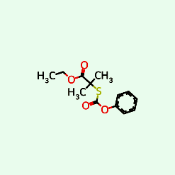 CCOC(=O)C(C)(C)SC(=O)Oc1ccccc1